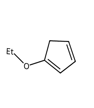 [CH2]COC1=CC=CC1